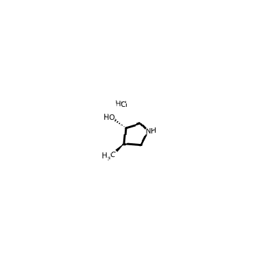 C[C@@H]1CNC[C@H]1O.Cl